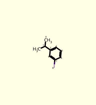 CC(C)c1cccc(I)c1